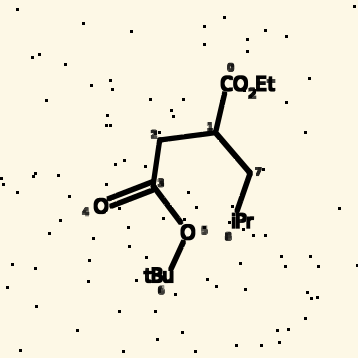 CCOC(=O)C(CC(=O)OC(C)(C)C)CC(C)C